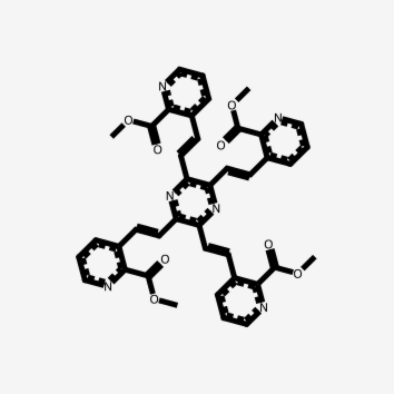 COC(=O)c1ncccc1C=Cc1nc(C=Cc2cccnc2C(=O)OC)c(C=Cc2cccnc2C(=O)OC)nc1C=Cc1cccnc1C(=O)OC